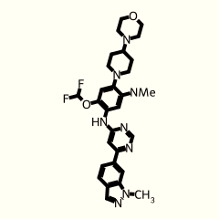 CNc1cc(Nc2cc(-c3ccc4cnn(C)c4c3)ncn2)c(OC(F)F)cc1N1CCC(N2CCOCC2)CC1